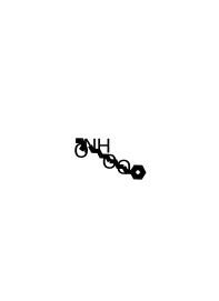 C=CC(=O)NCCCCOCCOCc1ccccc1